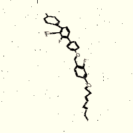 CCCCCCCCOc1ccc(COc2ccc(-c3ccc(C4CCC(C)CC4)c(F)c3F)cc2)c(F)c1